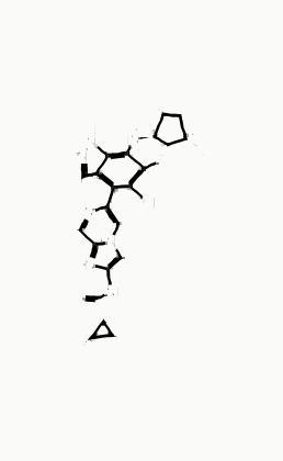 O=C(Nc1cn2cc(-c3c(Cl)c(F)c(N[C@H]4CC[C@H](O)C4)c4[nH]ncc34)ncc2n1)[C@@H]1C[C@@H]1F